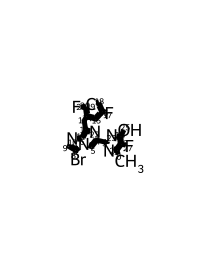 Cc1nc(-c2cn3c(Br)cnc3c(Cc3cc(F)ccc3F)n2)nc(O)c1F